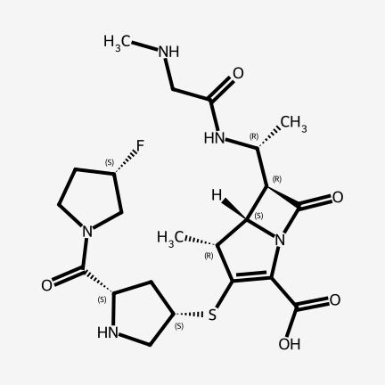 CNCC(=O)N[C@H](C)[C@H]1C(=O)N2C(C(=O)O)=C(S[C@@H]3CN[C@H](C(=O)N4CC[C@H](F)C4)C3)[C@H](C)[C@H]12